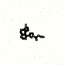 CC(C)(C)OC(=O)N1CC=C(c2ncnc3cnc4[nH]ccc4c23)C1